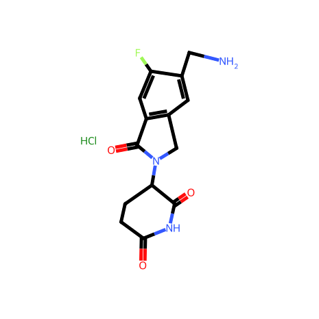 Cl.NCc1cc2c(cc1F)C(=O)N(C1CCC(=O)NC1=O)C2